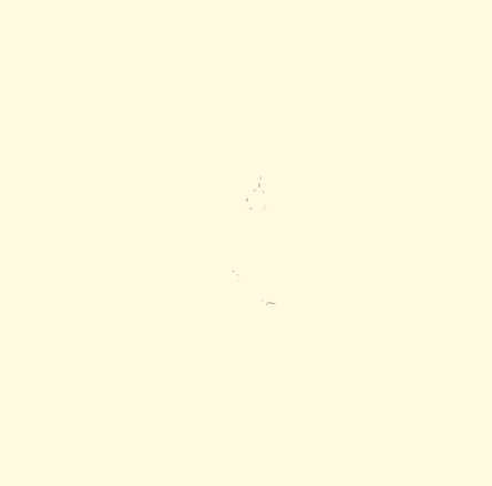 O=c1oc(CO)c(CCCC(CO[N+](=O)[O-])O[N+](=O)[O-])o1